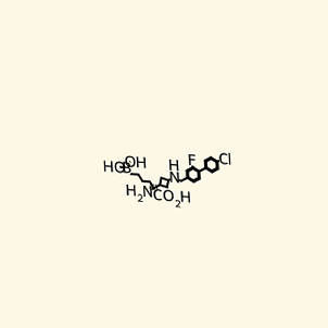 N[C@](CCCCB(O)O)(C(=O)O)C1CC(NCc2ccc(-c3ccc(Cl)cc3)c(F)c2)C1